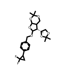 CC1(C)OCC2C(OC(OCc3ccc(C4CC4(F)F)cc3)C2[C@@H]2COC(C)(C)O2)O1